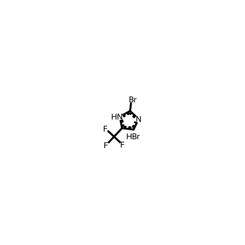 Br.FC(F)(F)c1cnc(Br)[nH]1